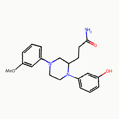 COc1cccc(N2CCN(c3cccc(O)c3)C(CCC(N)=O)C2)c1